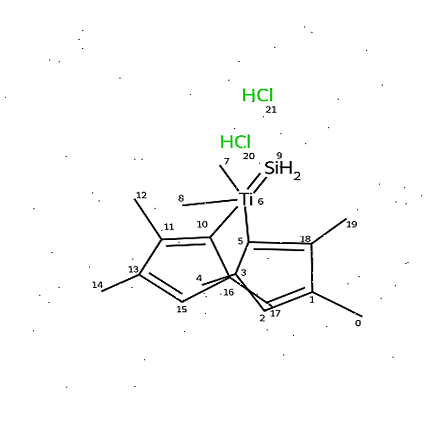 CC1=CC(C)[C]([Ti]([CH3])([CH3])(=[SiH2])[C]2=C(C)C(C)=CC2C)=C1C.Cl.Cl